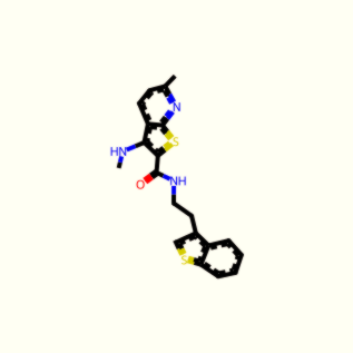 CNc1c(C(=O)NCCc2csc3ccccc23)sc2nc(C)ccc12